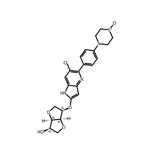 [O-][S+]1CCN(c2ccc(-c3nc4cc(O[C@@H]5CO[C@H]6[C@@H]5OC[C@H]6O)[nH]c4cc3Cl)cc2)CC1